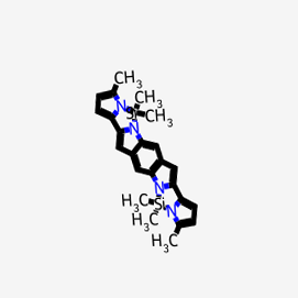 Cc1ccc2n1[Si](C)(C)n1c-2cc2cc3c(cc4n3[Si](C)(C)n3c(C)ccc3-4)cc21